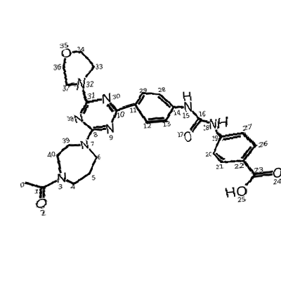 CC(=O)N1CCCN(c2nc(-c3ccc(NC(=O)Nc4ccc(C(=O)O)cc4)cc3)nc(N3CCOCC3)n2)CC1